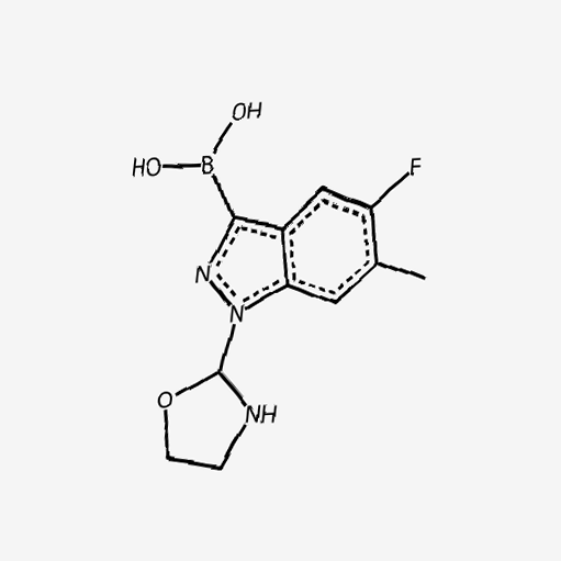 Cc1cc2c(cc1F)c(B(O)O)nn2C1NCCO1